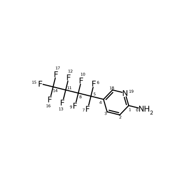 Nc1ccc(C(F)(F)C(F)(F)C(F)(F)C(F)(F)F)cn1